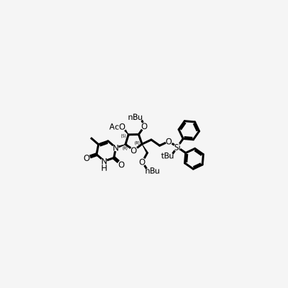 CCCCOC[C@@]1(CCO[Si](c2ccccc2)(c2ccccc2)C(C)(C)C)O[C@@H](n2cc(C)c(=O)[nH]c2=O)[C@@H](OC(C)=O)C1OCCCC